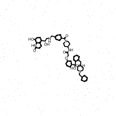 O=C(COc1cccc([C@@](O)(C(=O)O)c2ccccc2CC2CCN(Cc3ccccc3)CC2)c1)NC1CCN(C(=O)c2ccc(CNC[C@H](O)c3ccc(O)c4[nH]c(=O)ccc34)cc2)CC1